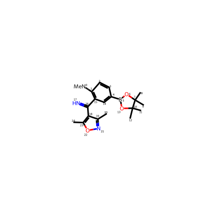 CNc1ccc(B2OC(C)(C)C(C)(C)O2)cc1C(=N)c1c(C)noc1C